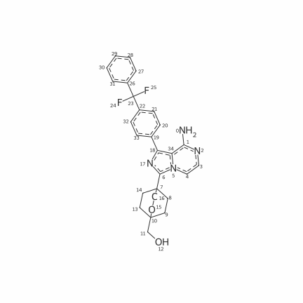 Nc1nccn2c(C34CCC(CO)(CC3)OC4)nc(-c3ccc(C(F)(F)c4ccccc4)cc3)c12